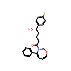 O=C(CCC[C@H](O)c1ccc(F)cc1)N1COC=CC=C1c1ccccc1